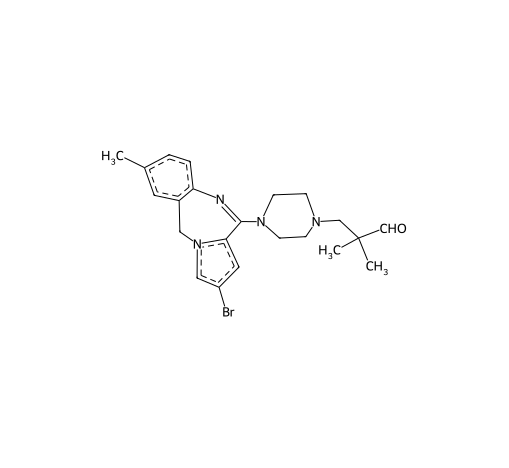 Cc1ccc2c(c1)Cn1cc(Br)cc1C(N1CCN(CC(C)(C)C=O)CC1)=N2